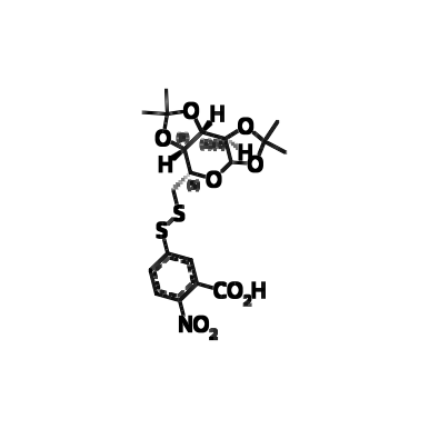 CC1(C)O[C@@H]2[C@H](O1)[C@H]1OC(C)(C)OC1O[C@@H]2CSSc1ccc([N+](=O)[O-])c(C(=O)O)c1